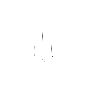 Cc1cc(C(F)F)c(C)nn1